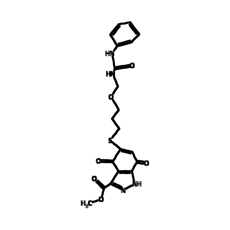 COC(=O)c1n[nH]c2c1C(=O)C(SCCCOCNC(=O)Nc1ccccc1)=CC2=O